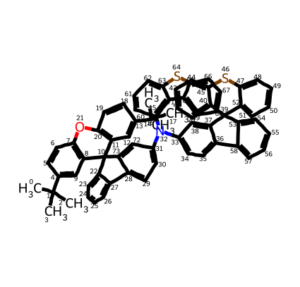 CC(C)(C)c1ccc2c(c1)C1(c3cc(C(C)(C)C)ccc3O2)c2ccccc2-c2ccc(N(c3ccc4c(c3)C3(c5ccccc5Sc5ccccc53)c3ccccc3-4)c3cccc4sc5ccccc5c34)cc21